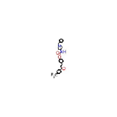 O=C(COc1ccc(/C=C/C(=O)c2ccc(C(F)(F)F)cc2)cc1)NC1CCN(Cc2ccccc2)CC1